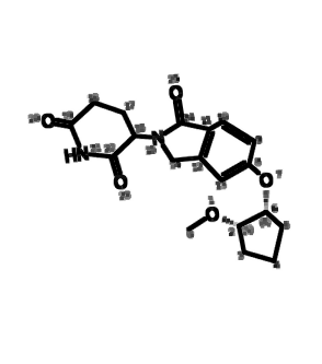 CO[C@H]1CCC[C@H]1Oc1ccc2c(c1)CN(C1CCC(=O)NC1=O)C2=O